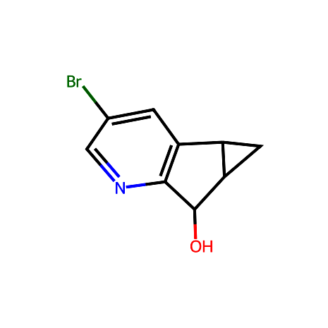 OC1c2ncc(Br)cc2C2CC12